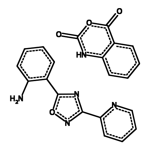 Nc1ccccc1-c1nc(-c2ccccn2)no1.O=c1[nH]c2ccccc2c(=O)o1